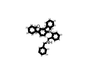 c1ccc(CNCc2ccccc2-n2c3ccccc3c3c4oc5ccccc5c4ccc32)cc1